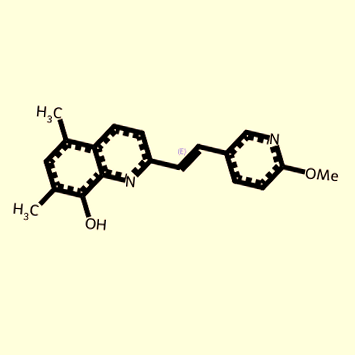 COc1ccc(/C=C/c2ccc3c(C)cc(C)c(O)c3n2)cn1